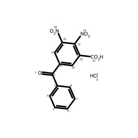 Cl.O=C(c1ccccc1)c1cc(C(=O)O)c([N+](=O)[O-])c([N+](=O)[O-])c1